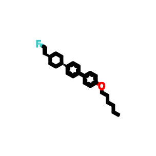 CCCCCCOc1ccc(-c2ccc([C@H]3CC[C@H](C=CF)CC3)cc2)cc1